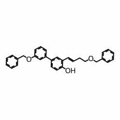 Oc1ccc(-c2cccc(OCc3ccccc3)c2)cc1C=CCCOCc1ccccc1